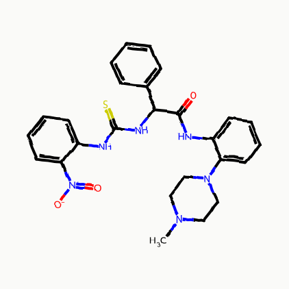 CN1CCN(c2ccccc2NC(=O)C(NC(=S)Nc2ccccc2[N+](=O)[O-])c2ccccc2)CC1